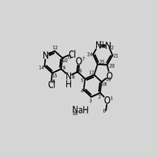 COc1ccc(C(=O)Nc2c(Cl)cncc2Cl)c2c1oc1cnncc12.[NaH]